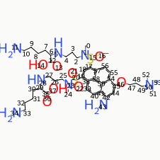 CN(CCCNC(CCCCN)C(=O)O)[S+]([O-])c1cc(S(=O)(=O)N(C)CCCNC(CCCCN)C(=O)O)c2ccc3c(N)cc(OCCC[N+](C)(C)C)c4ccc1c2c34